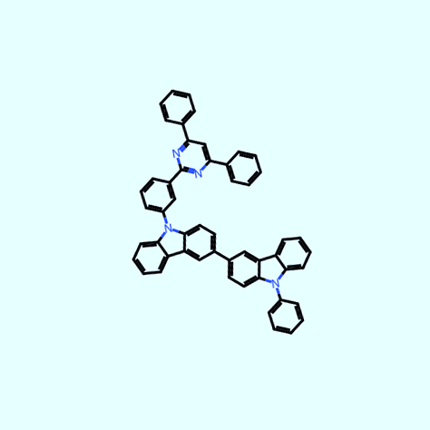 c1ccc(-c2cc(-c3ccccc3)nc(-c3cccc(-n4c5ccccc5c5cc(-c6ccc7c(c6)c6ccccc6n7-c6ccccc6)ccc54)c3)n2)cc1